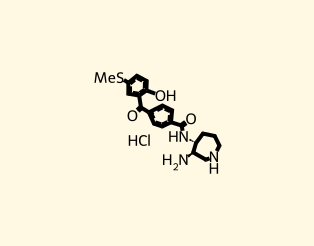 CSc1ccc(O)c(C(=O)c2ccc(C(=O)N[C@@H]3CCCNC[C@H]3N)cc2)c1.Cl